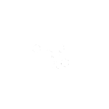 COc1ccc(NS(=O)(=O)CC(CCc2ccccc2)NC(=O)C(CC2CCCCC2)NC(C)=O)cc1